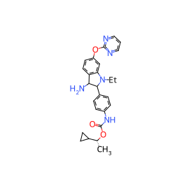 CCN1c2cc(Oc3ncccn3)ccc2C(N)C1c1ccc(NC(=O)O[C@H](C)C2CC2)cc1